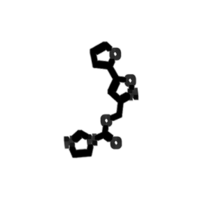 O=C(OCc1cc(-c2ccco2)on1)n1ccnc1